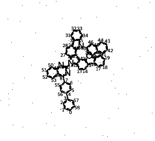 c1ccc(-c2ccc(-c3nc(-n4c5ccc6c7ccccc7oc6c5c5c4ccc4c6ccccc6n(-c6ccc7ccccc7c6)c45)nc4ccccc34)cc2)cc1